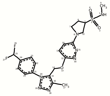 CNS(=O)(=O)C1CCN(c2ccc(OCc3c(C)nnn3-c3ccc(C(F)F)cc3)nn2)C1